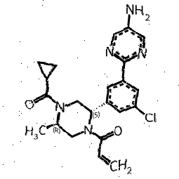 C=CC(=O)N1C[C@@H](C)N(C(=O)C2CC2)C[C@@H]1c1cc(Cl)cc(-c2ncc(N)cn2)c1